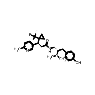 Cc1ccc([C@H](CC(=O)NC[C@H](Cc2ccc(O)cc2)N(C)C)C2(C(F)(F)F)CC2)cn1